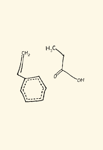 C=Cc1ccccc1.CCC(=O)O